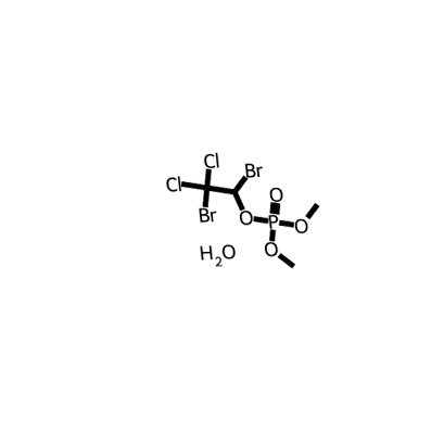 COP(=O)(OC)OC(Br)C(Cl)(Cl)Br.O